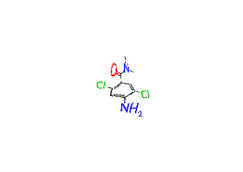 CN(C)C(=O)c1cc(Cl)c(N)cc1Cl